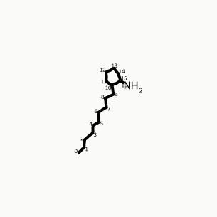 CCCCCCCCCCC1CCCCC1N